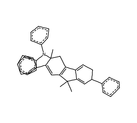 CC1(C)C2=CC(c3ccccc3)CC=C2C2=C1C=C(C1=CCCC=C1)C(C)(N(c1ccccc1)c1ccccc1)C2